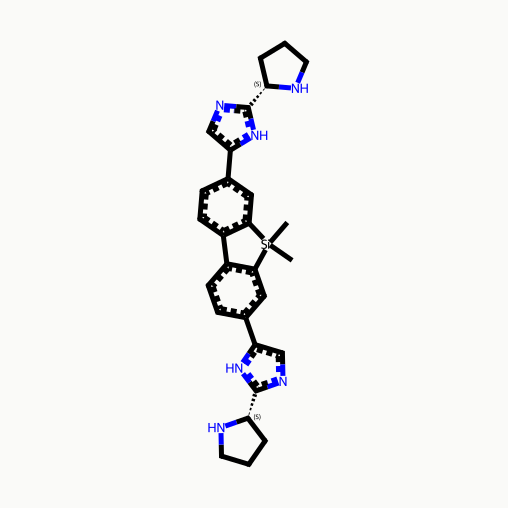 C[Si]1(C)c2cc(-c3cnc([C@@H]4CCCN4)[nH]3)ccc2-c2ccc(-c3cnc([C@@H]4CCCN4)[nH]3)cc21